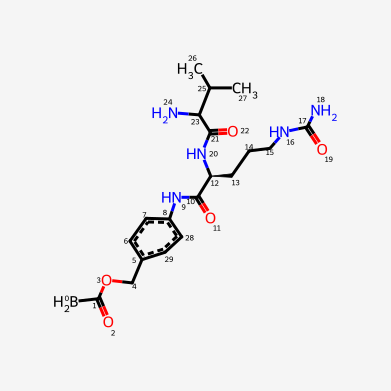 BC(=O)OCc1ccc(NC(=O)[C@H](CCCNC(N)=O)NC(=O)C(N)C(C)C)cc1